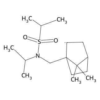 CC(C)N(CC12[CH]CC(CC1)C2(C)C)S(=O)(=O)C(C)C